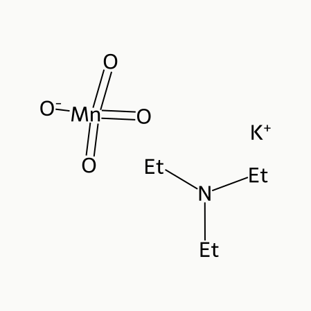 CCN(CC)CC.[K+].[O]=[Mn](=[O])(=[O])[O-]